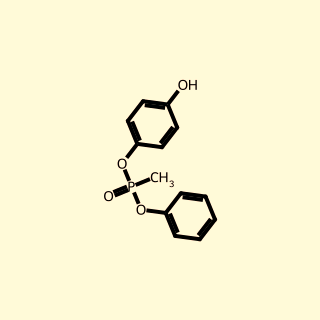 CP(=O)(Oc1ccccc1)Oc1ccc(O)cc1